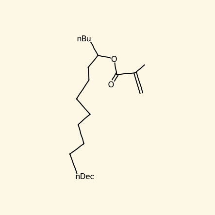 C=C(C)C(=O)OC(CCCC)CCCCCCCCCCCCCCCCC